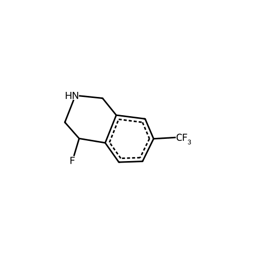 FC1CNCc2cc(C(F)(F)F)ccc21